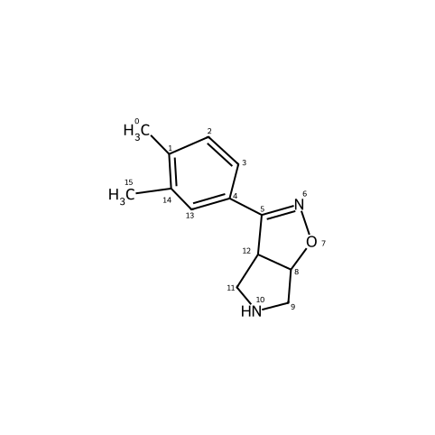 Cc1ccc(C2=NOC3CNCC23)cc1C